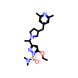 CCOc1cc(C(C)N2CCC(Cc3cc(C)nc(C)c3)C2)nn1[S+]([O-])N(C)C